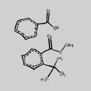 CC(C)(C)c1ccccc1C(=O)OO.O=C(O)c1ccccc1